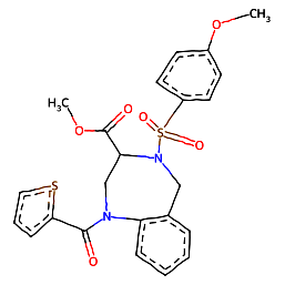 COC(=O)C1CN(C(=O)c2cccs2)c2ccccc2CN1S(=O)(=O)c1ccc(OC)cc1